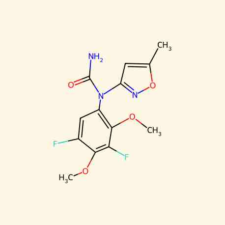 COc1c(F)cc(N(C(N)=O)c2cc(C)on2)c(OC)c1F